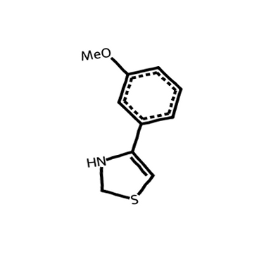 COc1cccc(C2=CSCN2)c1